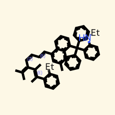 CCNc1ccccc1C(c1ccccc1)(c1ccccc1)c1cccc2c(/C=C/C=C\C(=C(C)C)/C(C)=C(\C)c3ccccc3CC)cc(C)cc12